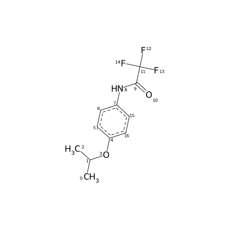 CC(C)Oc1[c]cc(NC(=O)C(F)(F)F)cc1